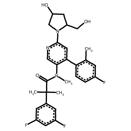 Cc1cc(F)ccc1-c1cc(N2CC(O)CC2CO)ncc1N(C)C(=O)C(C)(C)c1cc(F)cc(F)c1